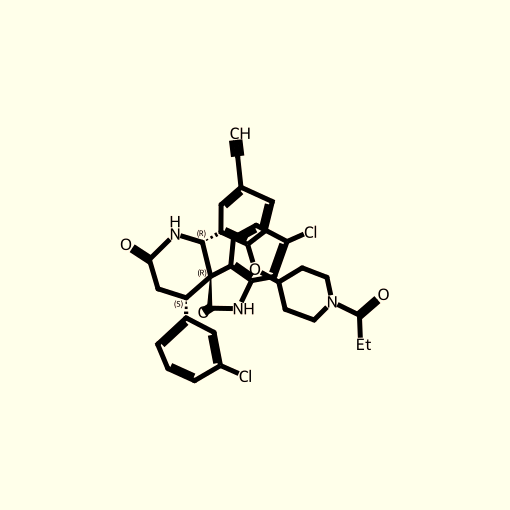 C#Cc1ccc(OC2CCN(C(=O)CC)CC2)c([C@H]2NC(=O)C[C@@H](c3cccc(Cl)c3)[C@]23C(=O)Nc2cc(Cl)ccc23)c1